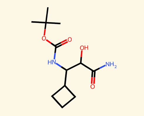 CC(C)(C)OC(=O)NC(C1CCC1)C(O)C(N)=O